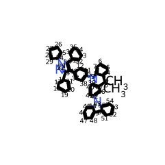 CC1(C)c2ccccc2N(c2ccc(-c3c(-c4ccccc4)nn(-c4ccccc4)c3-c3ccccc3)cc2)c2ccc(-n3c4ccccc4c4ccccc43)cc21